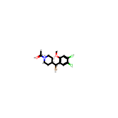 COc1cc(Cl)c(Cl)cc1C(Br)C1CCN(C(C)=O)CC1